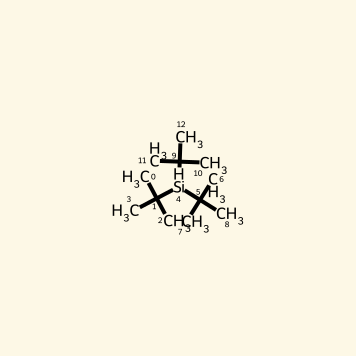 CC(C)(C)[SiH](C(C)(C)C)C(C)(C)C